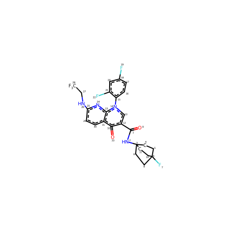 O=C(NC12CCC(F)(CC1)CC2)c1cn(-c2ccc(F)cc2F)c2nc(NCC(F)(F)F)ccc2c1=O